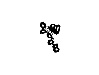 CC1(c2cccc(-c3ccc4ccccc4c3)c2)C=CC(N(c2cccc3c2oc2ccccc23)c2cccc3c2oc2ccccc23)=CC1